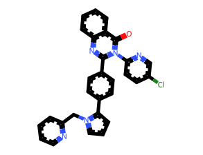 O=c1c2ccccc2nc(-c2ccc(-c3cccn3Cc3ccccn3)cc2)n1-c1ccc(Cl)cn1